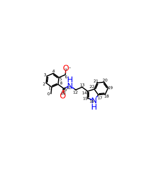 Cc1cccc(C[O])c1C(=O)NCCc1c[nH]c2ccccc12